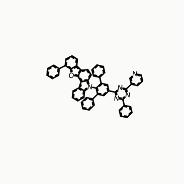 c1ccc(-c2nc(-c3cccnc3)nc(-c3cc(-c4ccccc4)c(-n4c5ccccc5c5c6oc7c(-c8ccccc8)cccc7c6ccc54)c(-c4ccccc4)c3)n2)cc1